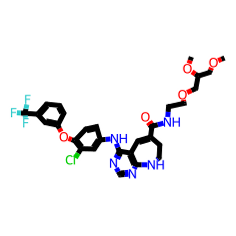 COCC(COCCNC(=O)C1=Cc2c(ncnc2Nc2ccc(Oc3cccc(C(F)(F)F)c3)c(Cl)c2)NCC1)OC